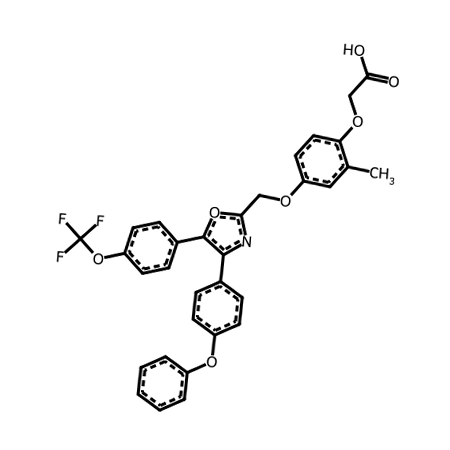 Cc1cc(OCc2nc(-c3ccc(Oc4ccccc4)cc3)c(-c3ccc(OC(F)(F)F)cc3)o2)ccc1OCC(=O)O